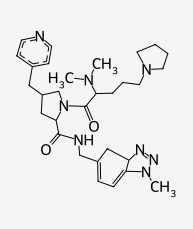 CN1N=NC2CC(CNC(=O)C3CC(Cc4ccncc4)CN3C(=O)C(CCCN3CCCC3)N(C)C)=CC=C21